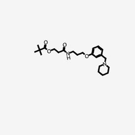 CC(C)(C)C(=O)OCCC(=O)NCCCOc1cccc(CN2CCCCC2)c1